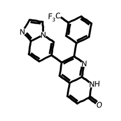 O=c1ccc2cc(-c3ccc4nccn4c3)c(-c3cccc(C(F)(F)F)c3)nc2[nH]1